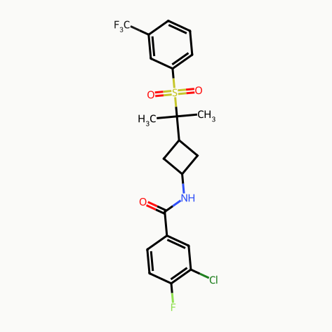 CC(C)(C1CC(NC(=O)c2ccc(F)c(Cl)c2)C1)S(=O)(=O)c1cccc(C(F)(F)F)c1